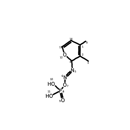 CC1=C(C)C(/N=N/OP(=O)(O)O)OC=C1